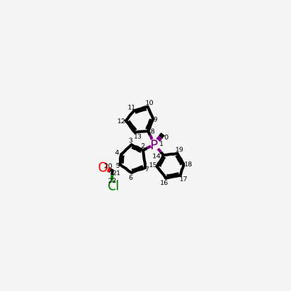 C=P(c1ccccc1)(c1ccccc1)c1ccccc1.O=CCl